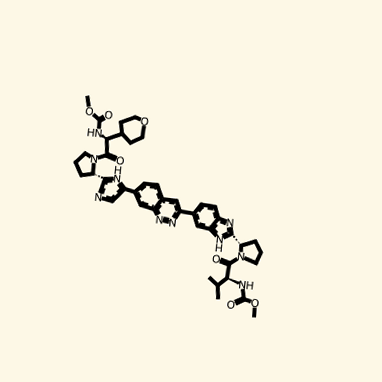 COC(=O)N[C@H](C(=O)N1CCC[C@H]1c1nc2ccc(-c3cc4ccc(-c5cnc([C@@H]6CCCN6C(=O)[C@@H](NC(=O)OC)C6CCOCC6)[nH]5)cc4nn3)cc2[nH]1)C(C)C